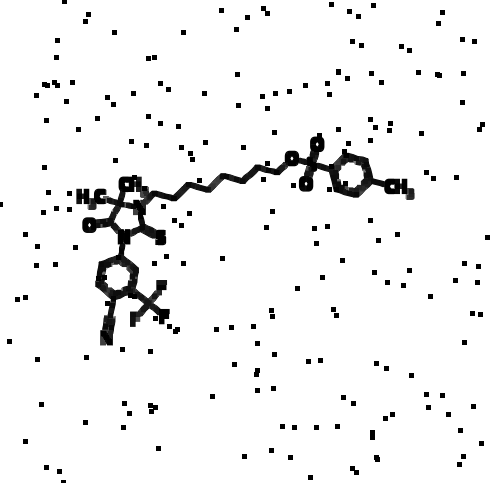 Cc1ccc(S(=O)(=O)OCCCCCCCCN2C(=S)N(c3ccc(C#N)c(C(F)(F)F)c3)C(=O)C2(C)C)cc1